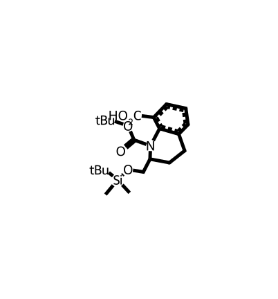 CC(C)(C)OC(=O)N1c2c(cccc2C(=O)O)CCC1CO[Si](C)(C)C(C)(C)C